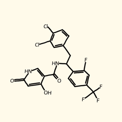 O=C(NC(Cc1ccc(Cl)c(Cl)c1)c1ccc(C(F)(F)F)cc1F)c1c[nH]c(=O)cc1O